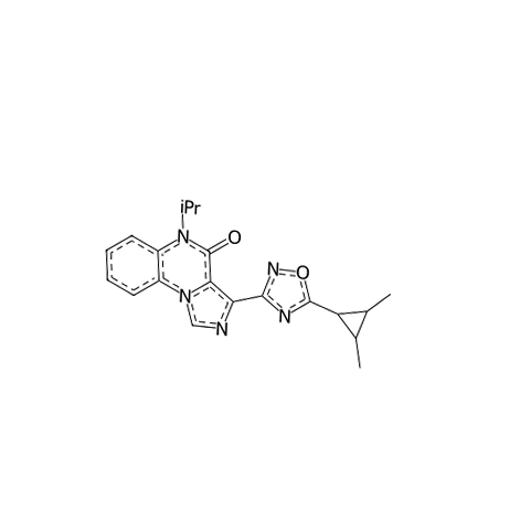 CC1C(C)C1c1nc(-c2ncn3c2c(=O)n(C(C)C)c2ccccc23)no1